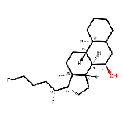 CC(C)CCC[C@@H](C)[C@H]1CC[C@H]2[C@@H]3[C@H](O)CC4CCCC[C@]4(C)[C@H]3CC[C@]12C